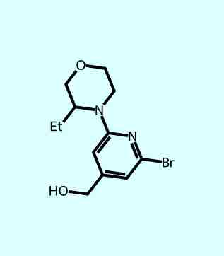 CCC1COCCN1c1cc(CO)cc(Br)n1